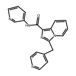 O=C(Nc1cccnc1)c1nc(Cc2ccncc2)n2ccccc12